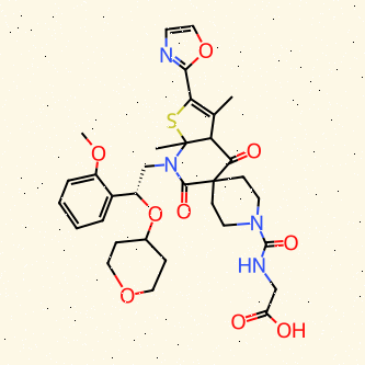 COc1ccccc1[C@H](CN1C(=O)C2(CCN(C(=O)NCC(=O)O)CC2)C(=O)C2C(C)=C(c3ncco3)SC21C)OC1CCOCC1